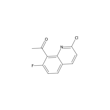 CC(=O)c1c(F)ccc2ccc(Cl)nc12